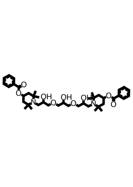 CC1(C)CC(OC(=O)c2ccccc2)CC(C)(C)N1CC(O)COCC(O)COCC(O)CN1C(C)(C)CC(OC(=O)c2ccccc2)CC1(C)C